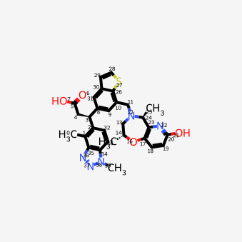 Cc1c([C@@H](CC(=O)O)c2cc(CN3C[C@@H](C)Oc4ccc(O)nc4[C@@H]3C)c3sccc3c2)ccc2c1nnn2C